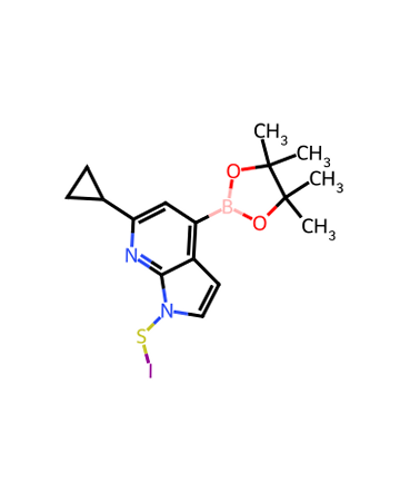 CC1(C)OB(c2cc(C3CC3)nc3c2ccn3SI)OC1(C)C